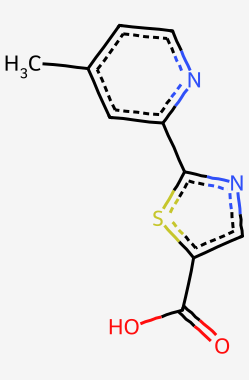 Cc1ccnc(-c2ncc(C(=O)O)s2)c1